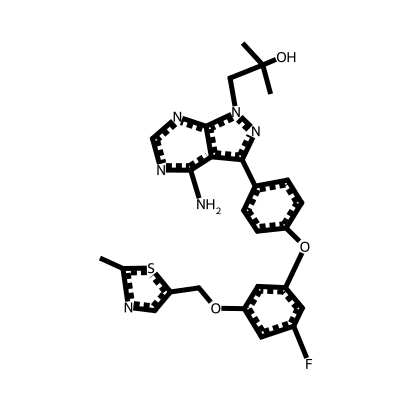 Cc1ncc(COc2cc(F)cc(Oc3ccc(-c4nn(CC(C)(C)O)c5ncnc(N)c45)cc3)c2)s1